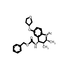 CC(=O)N1c2ccc(O[C@@H]3CCOC3)cc2[C@H](NC(=O)OCc2ccccc2)[C@@H](C)[C@@H]1C